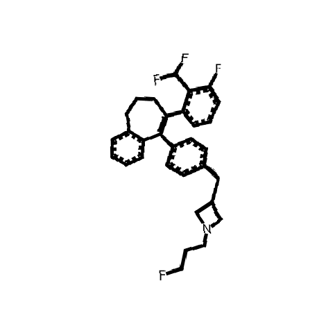 FCCCN1CC(Cc2ccc(C3=C(c4cccc(F)c4C(F)F)CCCc4ccccc43)cc2)C1